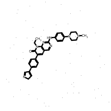 CCn1c(=O)c(-c2ccc(C3=CCN=C3)cc2)cc2cnc(Nc3ccc(N4CCN(C)CC4)cc3)nc21